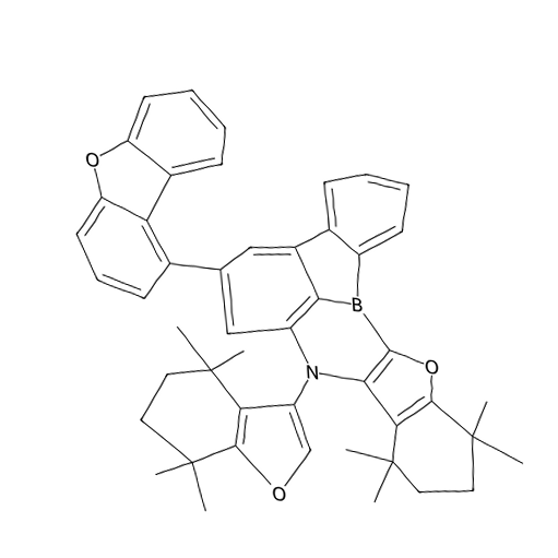 CC1(C)CCC(C)(C)c2c(N3c4cc(-c5cccc6oc7ccccc7c56)cc5c4B(c4ccccc4-5)c4oc5c(c43)C(C)(C)CCC5(C)C)coc21